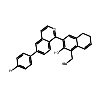 CC(C)c1ccc(-c2ccc3c(-c4cc5c(c(CC(C)(C)C)c4O)C=CCC5)nccc3c2)cc1